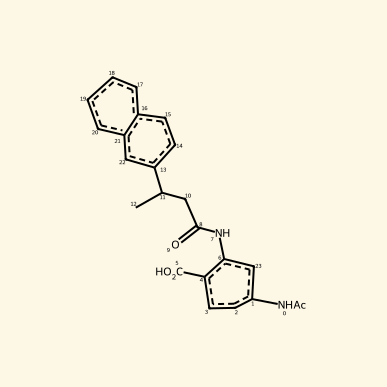 CC(=O)Nc1ccc(C(=O)O)c(NC(=O)CC(C)c2ccc3ccccc3c2)c1